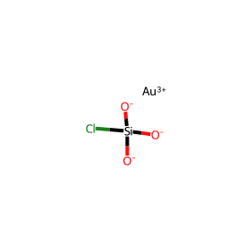 [Au+3].[O-][Si]([O-])([O-])Cl